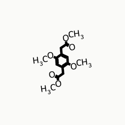 COC(=O)Cc1cc(OC)c(CC(=O)OC)cc1OC